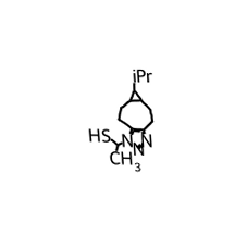 CC(C)C1C2CCc3nnn(C(C)S)c3CCC21